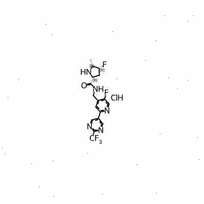 C[C@H]1N[C@@H](C(=O)NCc2cc(-c3cnc(C(F)(F)F)nc3)ncc2F)C[C@H]1F.Cl